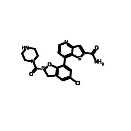 NC(=O)c1cc2nccc(-c3cc(Cl)cc4c3O[C@@H](C(=O)N3CCNCC3)C4)c2s1